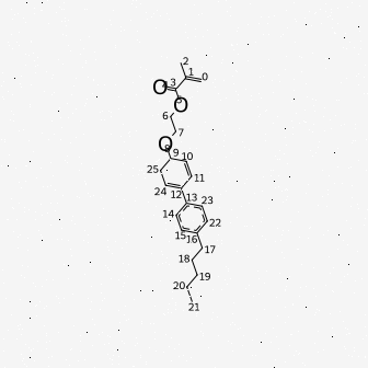 C=C(C)C(=O)OCCOC1C=CC(c2ccc(CCCCC)cc2)=CC1